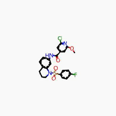 COc1cc(C(=O)Nc2ccc3c(c2)N(S(=O)(=O)c2ccc(F)cc2)CCC3)cc(Cl)n1